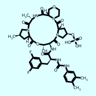 Cc1ccc(NC(=O)N[C@@H](Cc2cc(F)cc(F)c2)C(=O)N[C@@H]2C(=O)N3C[C@H](OP(=O)(O)O)C[C@H]3C(=O)N3CCOC[C@H]3C(=O)N[C@@H](C)C(=O)N3C[C@H](C)C[C@H]3C(=O)O[C@H]2C)cc1C